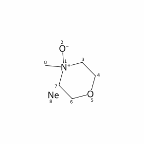 C[N+]1([O-])CCOCC1.[Ne]